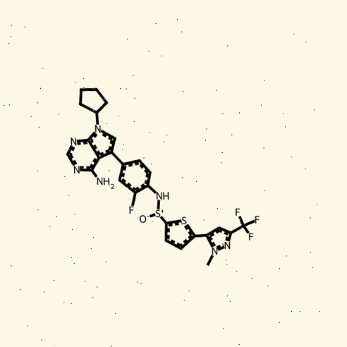 Cn1nc(C(F)(F)F)cc1-c1ccc([S+]([O-])Nc2ccc(-c3cn(C4CCCC4)c4ncnc(N)c34)cc2F)s1